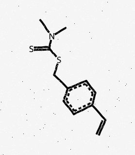 C=Cc1ccc(CSC(=S)N(C)C)cc1